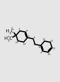 CC1(C)CC=C(CCC2=CC=CCC2)CC1